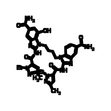 CCn1nc(C)cc1C(=O)Nc1nc2cc(C(N)=O)ccc2n1CCCCn1c(NC(=O)c2cc(C)nn2CC)nc2cc(C(N)=O)cc(O)c21